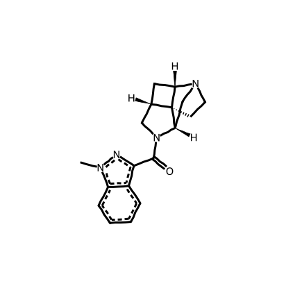 Cn1nc(C(=O)N2C[C@@H]3C[C@@H]4N5CC[C@]34[C@@H]2C5)c2ccccc21